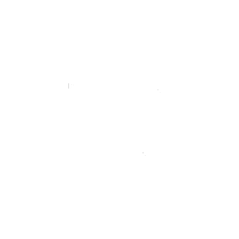 Cc1c(Cl)cc(CCBr)cc1Cl